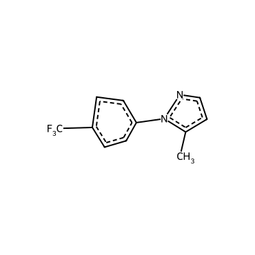 Cc1ccnn1-c1ccc(C(F)(F)F)cc1